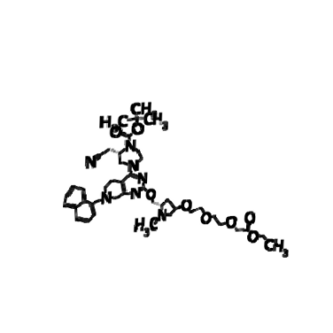 CCOC(=O)COCCOCCO[C@@H]1C[C@@H](COc2nc3c(c(N4CCN(C(=O)OC(C)(C)C)[C@@H](CC#N)C4)n2)CCN(c2cccc4ccccc24)C3)N(C)C1